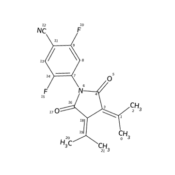 CC(C)=C1C(=O)N(c2cc(F)c(C#N)cc2F)C(=O)C1=C(C)C